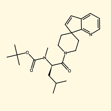 CC(C)C[C@H](C(=O)N1CCC2(C=Cc3cccnc32)CC1)N(C)C(=O)OC(C)(C)C